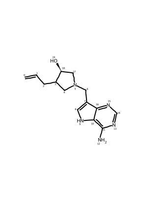 C=CCC1CN(Cc2c[nH]c3c(N)ncnc23)C[C@@H]1O